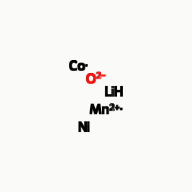 [Co].[LiH].[Mn+2].[Ni].[O-2]